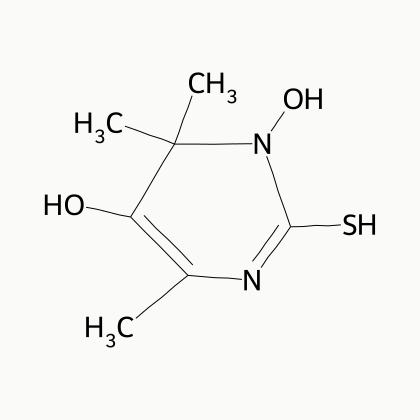 CC1=C(O)C(C)(C)N(O)C(S)=N1